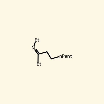 CCCCCCC/C(CC)=N\CC